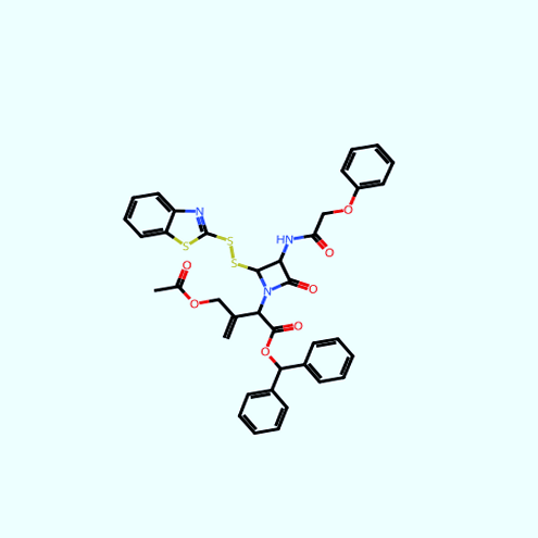 C=C(COC(C)=O)C(C(=O)OC(c1ccccc1)c1ccccc1)N1C(=O)C(NC(=O)COc2ccccc2)C1SSc1nc2ccccc2s1